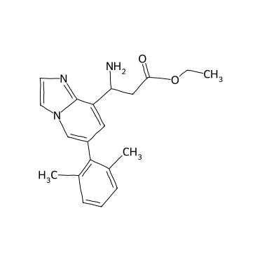 CCOC(=O)CC(N)c1cc(-c2c(C)cccc2C)cn2ccnc12